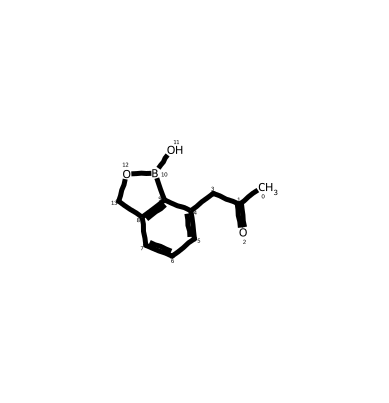 CC(=O)Cc1cccc2c1B(O)OC2